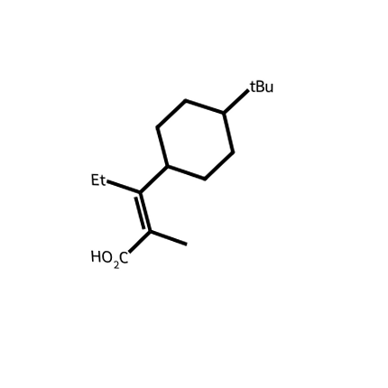 CCC(=C(C)C(=O)O)C1CCC(C(C)(C)C)CC1